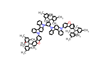 Cc1cc(C)c(B(c2cc(-n3c4ccccc4c4c5c6ccccc6n(-c6ccc7oc8ccc(B(c9c(C)cc(C)cc9C)c9c(C)cc(C)cc9C)cc8c7c6)c5ccc43)cc(-n3c4ccccc4c4c5c6ccccc6n(-c6ccc7oc8ccc(B(c9c(C)cc(C)cc9C)c9c(C)cc(C)cc9C)cc8c7c6)c5ccc43)c2)c2c(C)cc(C)cc2C)c(C)c1